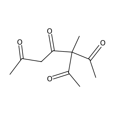 CC(=O)CC(=O)C(C)(C(C)=O)C(C)=O